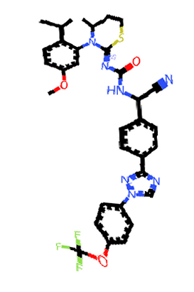 COc1ccc(C(C)C)c(N2/C(=N/C(=O)NC(C#N)c3ccc(-c4ncn(-c5ccc(OC(F)(F)F)cc5)n4)cc3)SCCC2C)c1